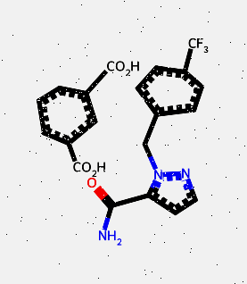 NC(=O)c1ccnn1Cc1ccc(C(F)(F)F)cc1.O=C(O)c1cccc(C(=O)O)c1